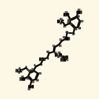 Br.Br.CCc1c(CCNCC/C=C/CCNCCc2ccc(O)c(O)c2CC)ccc(O)c1O.O